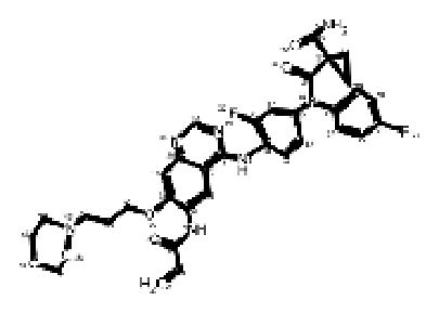 C=CC(=O)Nc1cc2c(Nc3ccc(N(C(=O)C4(C(N)=O)CC4)c4ccc(F)cc4)cc3F)ncnc2cc1OCCCN1CCOCC1